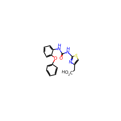 O=C(O)Cc1csc(NC(=O)Nc2ccccc2Oc2ccccc2)n1